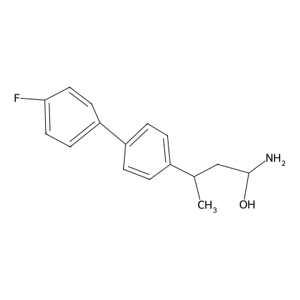 CC(CC(N)O)c1ccc(-c2ccc(F)cc2)cc1